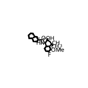 COc1c(F)ccc2c1C(C)(C)CC(O)(C(F)(F)F)C2NC(=O)c1ccc2ccccc2c1